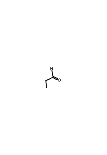 CCC([N])=O